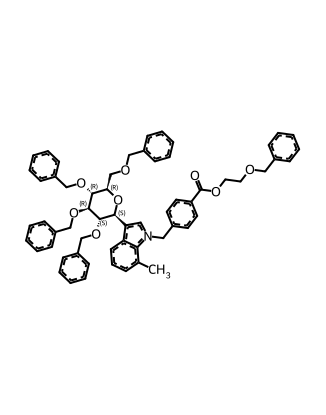 Cc1cccc2c([C@@H]3O[C@H](COCc4ccccc4)[C@@H](OCc4ccccc4)[C@H](OCc4ccccc4)[C@H]3OCc3ccccc3)cn(Cc3ccc(C(=O)OCCOCc4ccccc4)cc3)c12